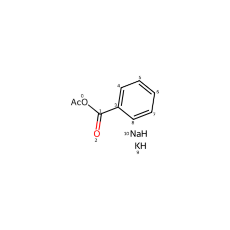 CC(=O)OC(=O)c1ccccc1.[KH].[NaH]